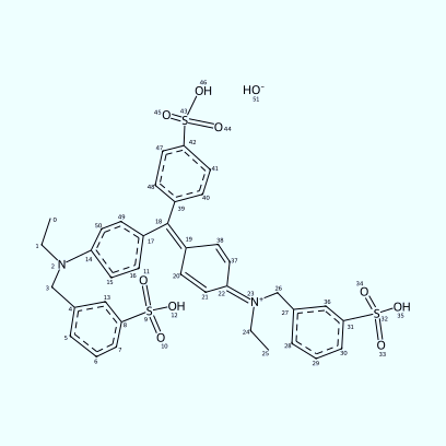 CCN(Cc1cccc(S(=O)(=O)O)c1)c1ccc(C(=C2C=CC(=[N+](CC)Cc3cccc(S(=O)(=O)O)c3)C=C2)c2ccc(S(=O)(=O)O)cc2)cc1.[OH-]